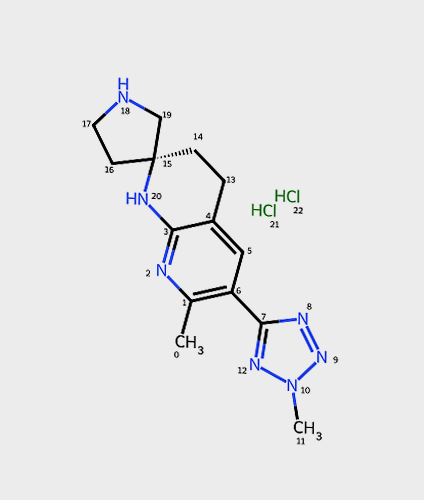 Cc1nc2c(cc1-c1nnn(C)n1)CC[C@@]1(CCNC1)N2.Cl.Cl